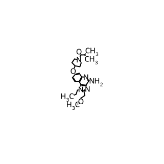 CCCn1c(CCOC)nc2c(N)nc3cc(OC4CCN(C(=O)C(C)C)CC4)ccc3c21